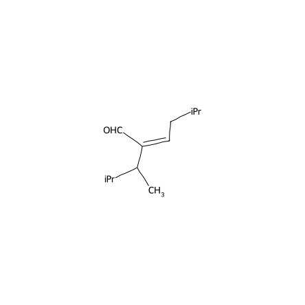 CC(C)C/C=C(\C=O)C(C)C(C)C